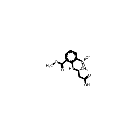 COC(=O)c1cccc([N+](=O)[O-])c1N[C@H](C)CC(=O)O